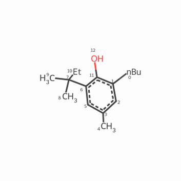 CCCCc1cc(C)cc(C(C)(C)CC)c1O